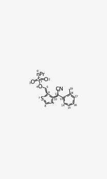 CCCS(=O)(=O)O/C=c1\scc\c1=C(\C#N)c1ccccc1C